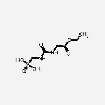 CCOC(=O)CNC(=O)NCP(=O)(O)O